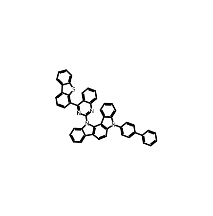 c1ccc(-c2ccc(-n3c4ccccc4c4c3ccc3c5ccccc5n(-c5nc(-c6cccc7c6sc6ccccc67)c6ccccc6n5)c34)cc2)cc1